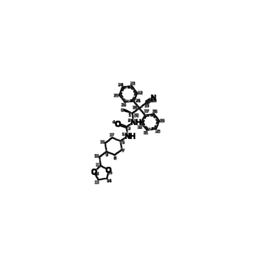 C[C@H](NC(=O)NC1CCC(CC2OCCO2)CC1)C(C#N)(c1ccccc1)c1ccccc1